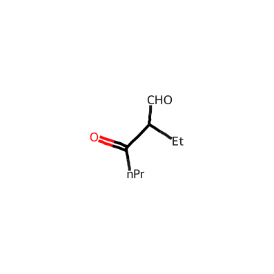 CCCC(=O)C(C=O)CC